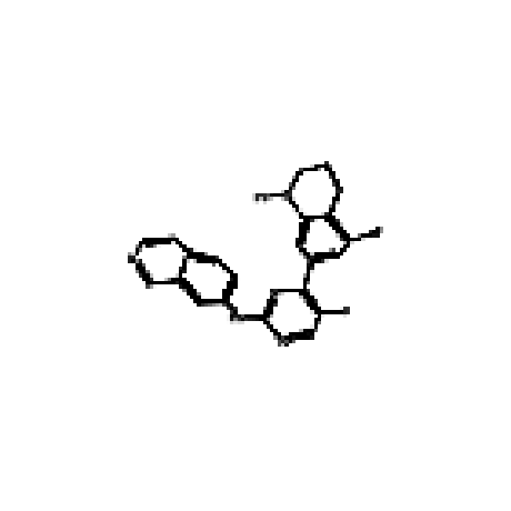 CC(C)N1CCOc2c(F)cc(-c3nc(Nc4ccc5ccncc5c4)ncc3F)cc21